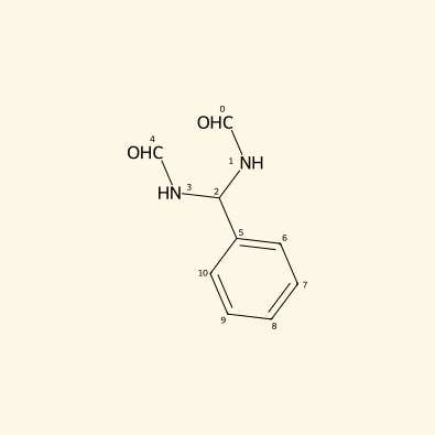 O=CNC(NC=O)c1ccccc1